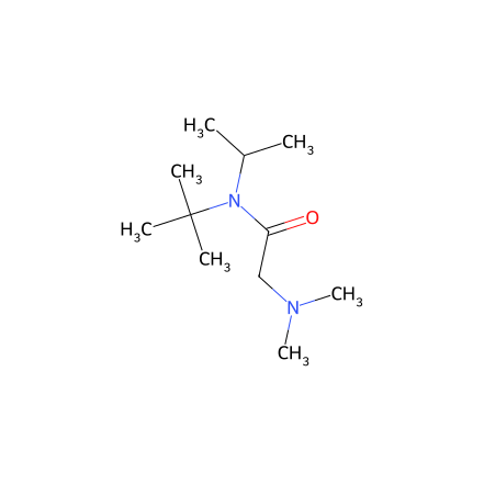 CC(C)N(C(=O)CN(C)C)C(C)(C)C